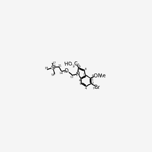 COc1c(Br)ccc2c1cc(C(=O)O)n2COCC[Si](C)(C)C